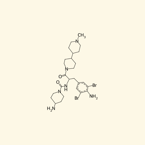 CN1CCC(C2CCN(C(=O)C(Cc3cc(Br)c(N)c(Br)c3)NC(=O)N3CCC(N)CC3)CC2)CC1